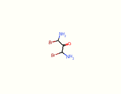 NC(Br)C(=O)C(N)Br